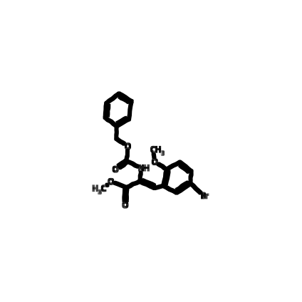 COC(=O)C(=Cc1cc(Br)ccc1OC)NC(=O)OCc1ccccc1